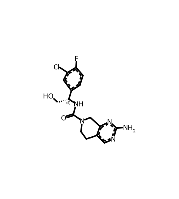 Nc1ncc2c(n1)CN(C(=O)N[C@H](CO)c1ccc(F)c(Cl)c1)CC2